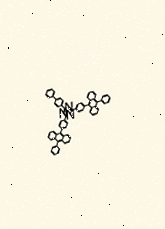 c1ccc(-c2ccc(-c3nc(-c4ccc(-c5c6ccccc6c(-c6ccccc6)c6ccccc56)cc4)nc(-c4ccc(-c5c6ccccc6c(-c6ccccc6)c6ccccc56)cc4)n3)cc2)cc1